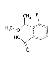 COC(C)c1c(F)cccc1C(=O)O